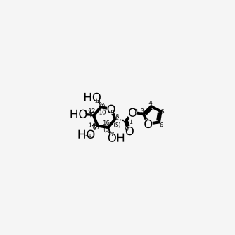 O=C(Oc1ccco1)[C@H]1O[C@@H](O)[C@H](O)[C@@H](O)[C@@H]1O